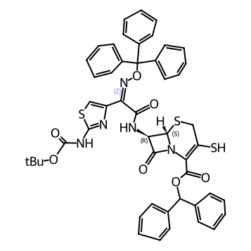 CC(C)(C)OC(=O)Nc1nc(/C(=N/OC(c2ccccc2)(c2ccccc2)c2ccccc2)C(=O)N[C@@H]2C(=O)N3C(C(=O)OC(c4ccccc4)c4ccccc4)=C(S)CS[C@@H]23)cs1